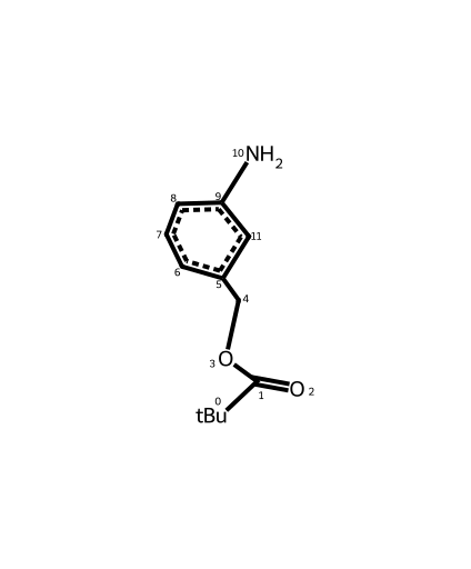 CC(C)(C)C(=O)OCc1cccc(N)c1